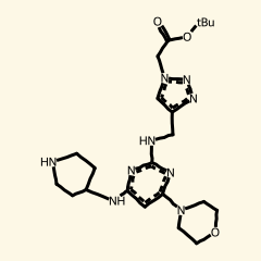 CC(C)(C)OC(=O)Cn1cc(CNc2nc(NC3CCNCC3)cc(N3CCOCC3)n2)nn1